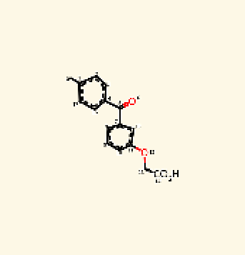 Cc1ccc(C(=O)c2cccc(OCC(=O)O)c2)cc1